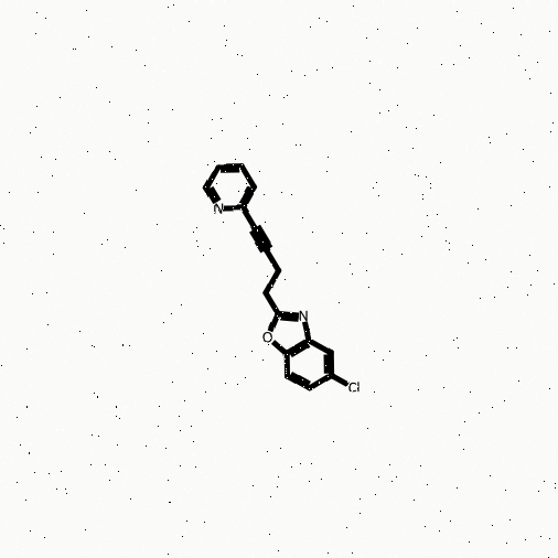 Clc1ccc2oc(CCC#Cc3ccccn3)nc2c1